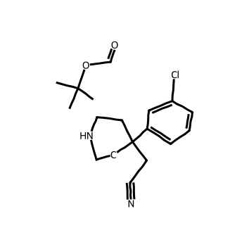 CC(C)(C)OC=O.N#CCC1(c2cccc(Cl)c2)CCNCC1